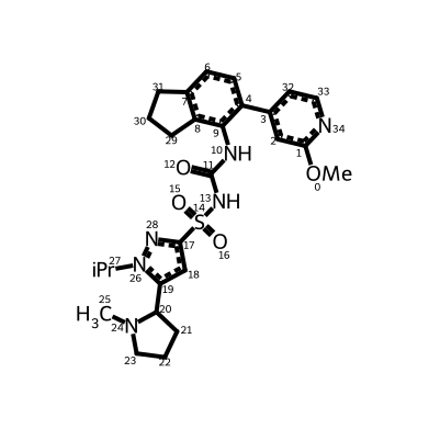 COc1cc(-c2ccc3c(c2NC(=O)NS(=O)(=O)c2cc(C4CCCN4C)n(C(C)C)n2)CCC3)ccn1